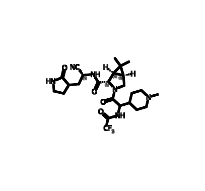 CN1CCC(C(NC(=O)C(F)(F)F)C(=O)N2C[C@H]3[C@@H]([C@H]2C(=O)N[C@H](C#N)CC2CCNC2=O)C3(C)C)CC1